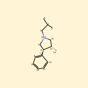 CC(C)CN1C[C@H](c2ccccc2)[C@@H](C)C1